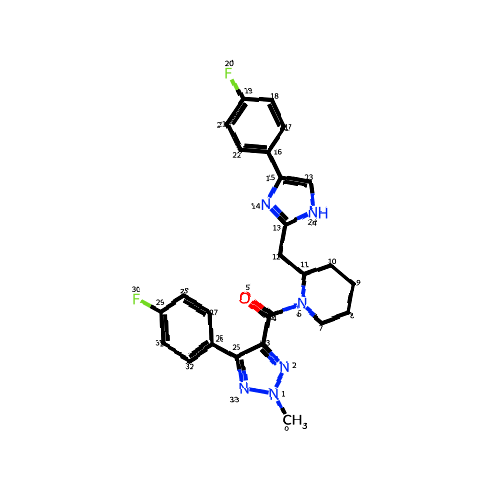 Cn1nc(C(=O)N2CCCCC2Cc2nc(-c3ccc(F)cc3)c[nH]2)c(-c2ccc(F)cc2)n1